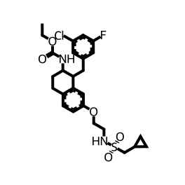 CCOC(=O)NC1CCc2ccc(OCCNS(=O)(=O)CC3CC3)cc2C1Cc1cc(F)cc(Cl)c1